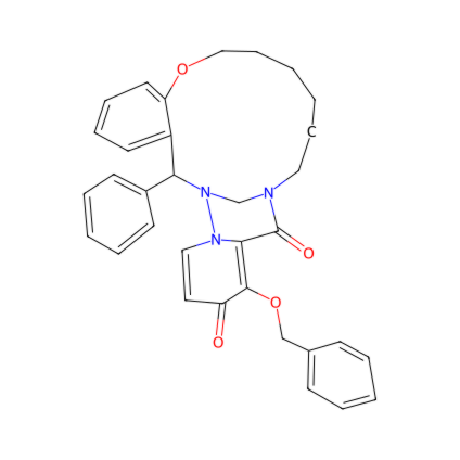 O=C1c2c(OCc3ccccc3)c(=O)ccn2N2CN1CCCCCCOc1ccccc1C2c1ccccc1